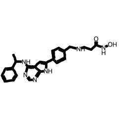 CC(Nc1ncnc2[nH]c(-c3ccc(CNCCC(=O)NO)cc3)cc12)c1ccccc1